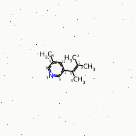 CC(C)=C(C)c1cncc(C)c1